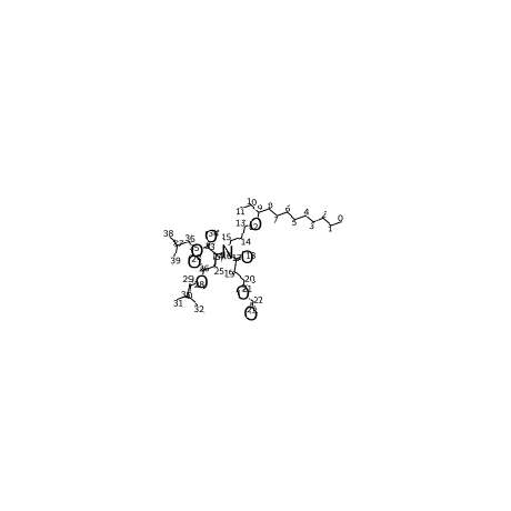 CCCCCCCCCC(CC)OCCCN(C(=O)CCOC=O)[C@@H](CC(=O)OCC(C)C)C(=O)OCC(C)C